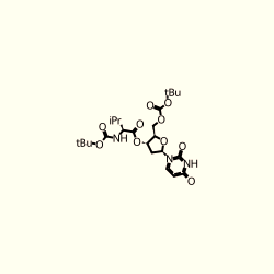 CC(C)[C@H](NC(=O)OC(C)(C)C)C(=O)O[C@H]1C[C@H](n2ccc(=O)[nH]c2=O)O[C@@H]1COC(=O)OC(C)(C)C